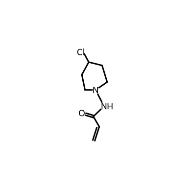 C=CC(=O)NN1CCC(Cl)CC1